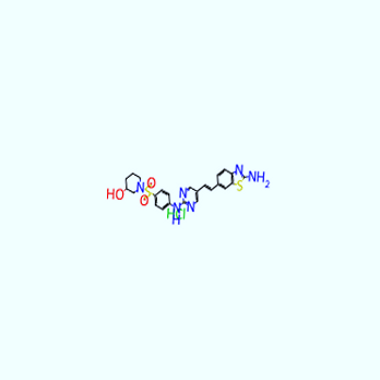 Cl.Nc1nc2ccc(C=Cc3cnc(Nc4ccc(S(=O)(=O)N5CCCC(O)C5)cc4)nc3)cc2s1